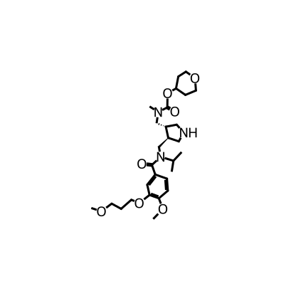 COCCCOc1cc(C(=O)N(C[C@@H]2CNC[C@H]2CN(C)C(=O)OC2CCOCC2)C(C)C)ccc1OC